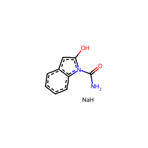 NC(=O)n1c(O)cc2ccccc21.[NaH]